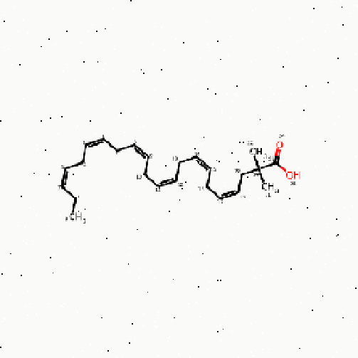 CC/C=C\C/C=C\C/C=C\C/C=C\C/C=C\C/C=C\CC(C)(C)C(=O)O